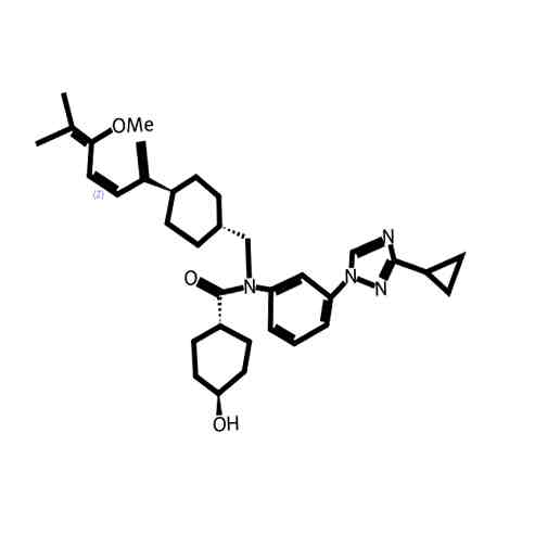 C=C(/C=C\C(OC)=C(C)C)[C@H]1CC[C@H](CN(c2cccc(-n3cnc(C4CC4)n3)c2)C(=O)[C@H]2CC[C@H](O)CC2)CC1